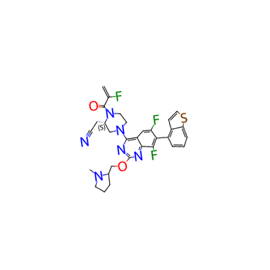 C=C(F)C(=O)N1CCN(c2nc(OCC3CCCN3C)nc3c(F)c(-c4cccc5sccc45)c(F)cc23)C[C@@H]1CC#N